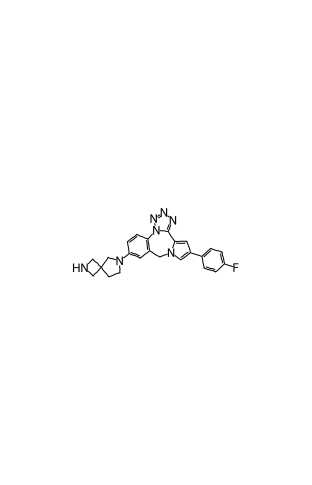 Fc1ccc(-c2cc3n(c2)Cc2cc(N4CCC5(CNC5)C4)ccc2-n2nnnc2-3)cc1